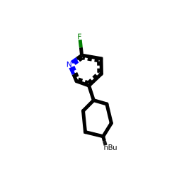 CCCCC1CCC(c2ccc(F)nc2)CC1